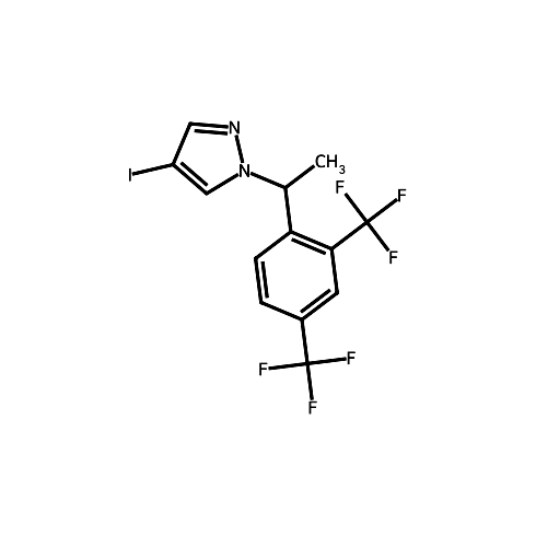 CC(c1ccc(C(F)(F)F)cc1C(F)(F)F)n1cc(I)cn1